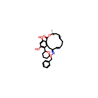 C[C@@H]1C/C=C/CC/C=C/C(=N/OCc2ccccc2)Cc2c(c(O)cc(O)c2C2CCCCO2)C(=O)O1